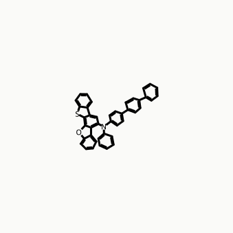 c1ccc(-c2ccc(-c3ccc(N(c4ccccc4)c4cc5c6ccccc6sc5c5oc6ccccc6c45)cc3)cc2)cc1